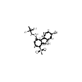 CC(F)(F)COc1ccc(S(C)(=O)=O)c2[nH]c3cc(Br)cnc3c12